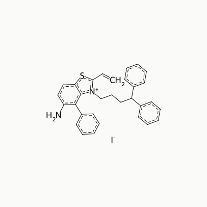 C=Cc1sc2ccc(N)c(-c3ccccc3)c2[n+]1CCCC(c1ccccc1)c1ccccc1.[I-]